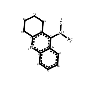 CC(=O)N(Cl)c1c2c(nc3ccccc13)CCCC2